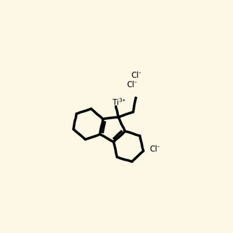 CC[C]1([Ti+3])C2=C(CCCC2)C2=C1CCCC2.[Cl-].[Cl-].[Cl-]